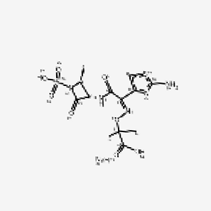 C[C@H]1[C@H](NC(=O)/C(=N\OC(C)(C)C(=O)O)c2csc(N)n2)C(=O)N1S(=O)(=O)O.[NaH]